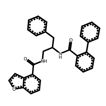 O=C(NC(CNC(=O)c1cccc2occc12)Cc1ccccc1)c1ccccc1-c1ccccc1